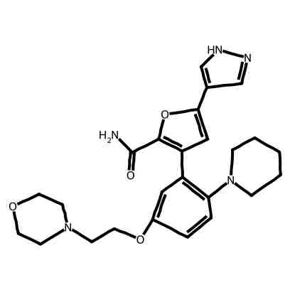 NC(=O)c1oc(-c2cn[nH]c2)cc1-c1cc(OCCN2CCOCC2)ccc1N1CCCCC1